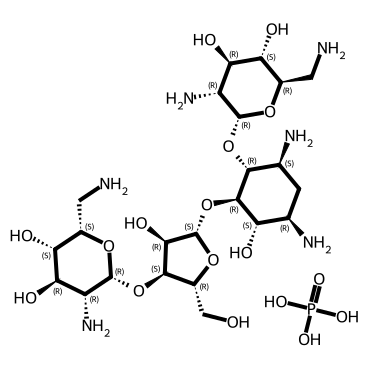 NC[C@@H]1O[C@H](O[C@H]2[C@@H](O)[C@H](O[C@@H]3[C@@H](O)[C@H](N)C[C@H](N)[C@H]3O[C@H]3O[C@H](CN)[C@@H](O)[C@H](O)[C@H]3N)O[C@@H]2CO)[C@H](N)[C@@H](O)[C@@H]1O.O=P(O)(O)O